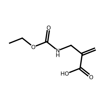 C=C(CNC(=O)OCC)C(=O)O